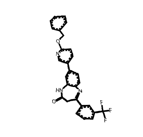 O=C1CC(c2cccc(C(F)(F)F)c2)=Nc2ccc(-c3ccc(OCc4ccccc4)nc3)cc2N1